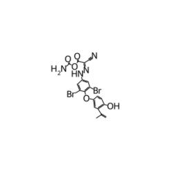 C=C(C)c1cc(Oc2c(Br)cc(NN=C(C#N)C(=O)OC(N)=O)cc2Br)ccc1O